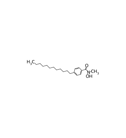 CCCCCCCCCCCCc1ccc(C(=O)N(C)O)cc1